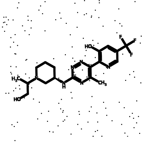 Cc1nc(N[C@@H]2CCCN(C(C)CO)C2)nnc1-c1ncc(C(F)(F)F)cc1O